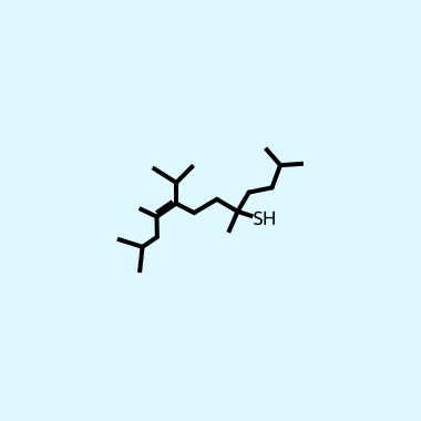 C/C(CC(C)C)=C(/CCC(C)(S)CCC(C)C)C(C)C